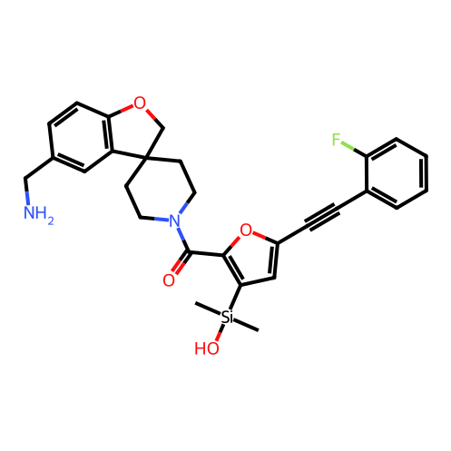 C[Si](C)(O)c1cc(C#Cc2ccccc2F)oc1C(=O)N1CCC2(CC1)COc1ccc(CN)cc12